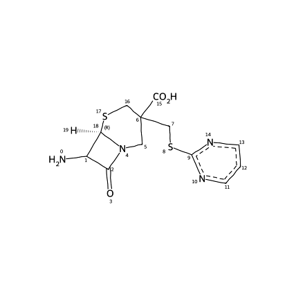 NC1C(=O)N2CC(CSc3ncccn3)(C(=O)O)CS[C@H]12